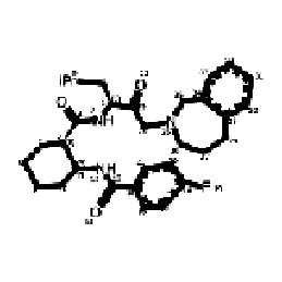 CC(C)C[C@H](NC(=O)[C@@H]1CCCC[C@@H]1NC(=O)c1ccc(F)cc1)C(=O)CN1CCCc2ccccc2C1